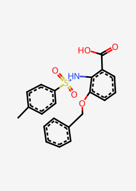 Cc1ccc(S(=O)(=O)Nc2c(OCc3ccccc3)cccc2C(=O)O)cc1